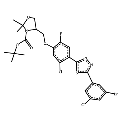 CC(C)(C)OC(=O)N1C(COc2cc(Cl)c(-c3nnc(-c4cc(Cl)cc(Br)c4)s3)cc2F)COC1(C)C